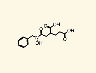 O=C(O)CCC(CC(=O)N(O)Cc1ccccc1)C(=O)O